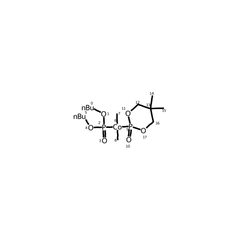 CCCCO[P](=O)(OCCCC)[Co]([CH3])([CH3])[P]1(=O)OCC(C)(C)CO1